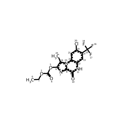 CCOC(=O)Oc1nc2c(=O)[nH]c3cc(C(F)(F)F)c(Cl)cc3n2c1C